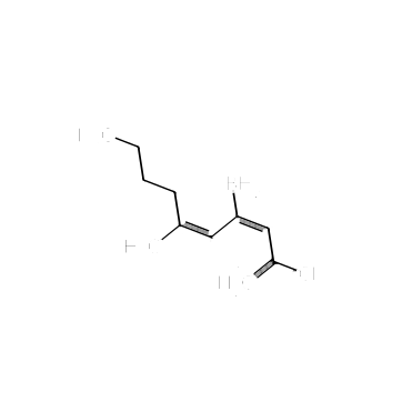 BC(=C/C(=C)C)/C=C(/C)CCCC